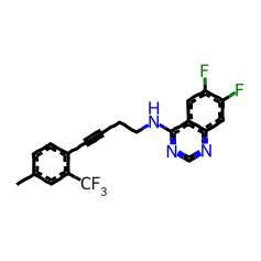 Cc1ccc(C#CCCNc2ncnc3cc(F)c(F)cc23)c(C(F)(F)F)c1